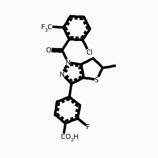 CC1Cc2c(c(-c3ccc(C(=O)O)c(F)c3)nn2C(=O)c2c(Cl)cccc2C(F)(F)F)S1